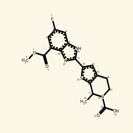 COC(=O)c1cc(F)cc2[nH]c(-c3cc4c(s3)C(C)N(C(=O)O)CC4)nc12